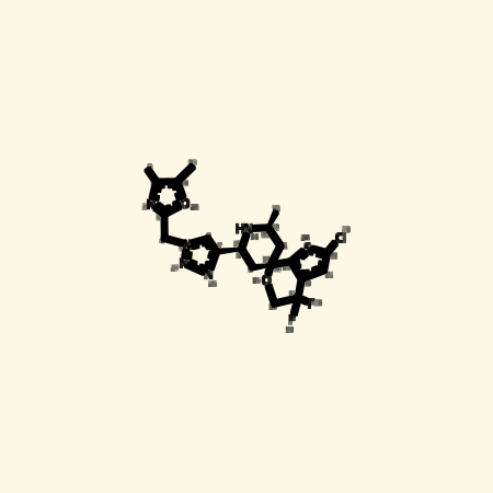 Cc1nc(Cn2cc([C@@H]3C[C@]4(C[C@H](C)N3)OCC(F)(F)c3cc(Cl)sc34)nn2)oc1C